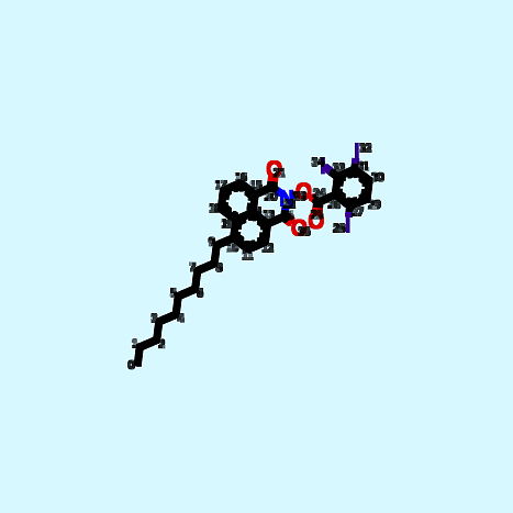 CCCCCCCCCCc1ccc2c3c(cccc13)C(=O)N(OC(=O)c1c(I)ccc(I)c1I)C2=O